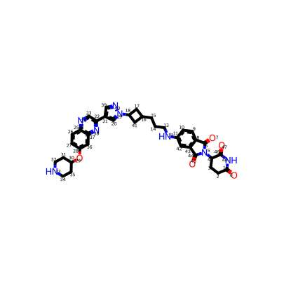 O=C1CCC(N2C(=O)c3ccc(NCCCC4CC(n5cc(-c6cnc7ccc(OC8CCNCC8)cc7n6)cn5)C4)cc3C2=O)C(=O)N1